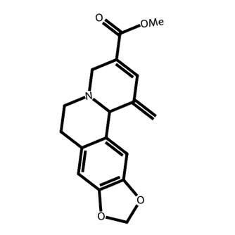 C=C1C=C(C(=O)OC)CN2CCc3cc4c(cc3C12)OCO4